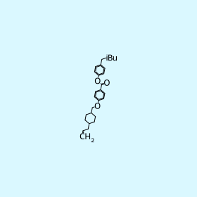 C=CCC1CCC(COc2ccc(C(=O)Oc3ccc(CC(C)CC)cc3)cc2)CC1